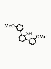 COc1cccc(-c2cccc(-c3cccc(OC)c3)c2S)c1